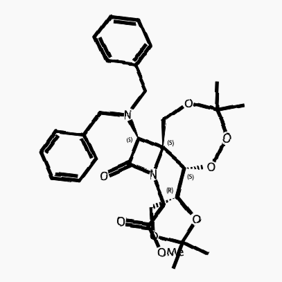 COC(=O)CN1C(=O)[C@@H](N(Cc2ccccc2)Cc2ccccc2)[C@@]12COC(C)(C)OO[C@@H]2[C@H]1COC(C)(C)O1